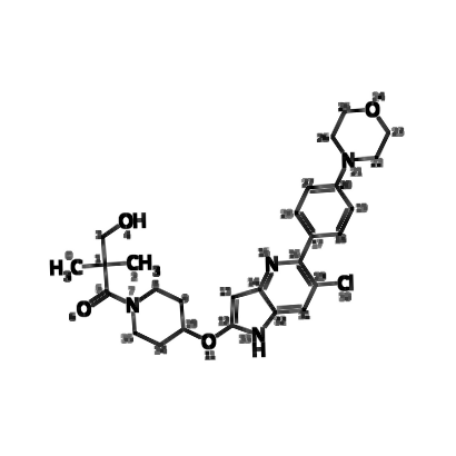 CC(C)(CO)C(=O)N1CCC(Oc2cc3nc(-c4ccc(N5CCOCC5)cc4)c(Cl)cc3[nH]2)CC1